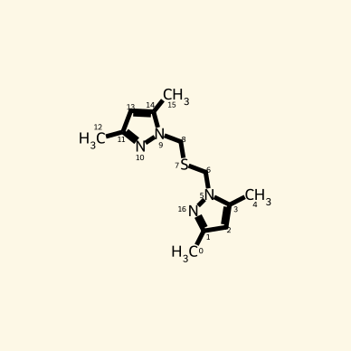 Cc1cc(C)n(CSCn2nc(C)cc2C)n1